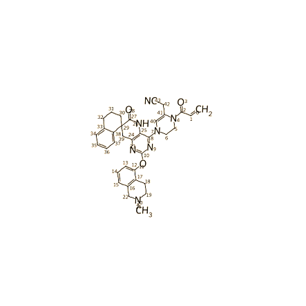 C=CC(=O)N1CCN(c2nc(Oc3cccc4c3CCN(C)C4)nc3c2NC(=O)C2(CCCc4ccccc42)C3)C=C1CC#N